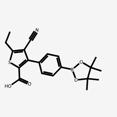 CCc1sc(C(=O)O)c(-c2ccc(B3OC(C)(C)C(C)(C)O3)cc2)c1C#N